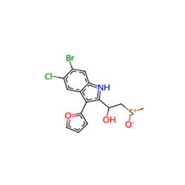 C[S+]([O-])CC(O)c1[nH]c2cc(Br)c(Cl)cc2c1-c1ccco1